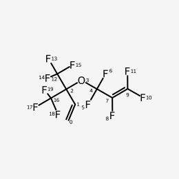 C=CC(OC(F)(F)C(F)=C(F)F)(C(F)(F)F)C(F)(F)F